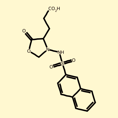 O=C(O)CCC1C(=O)OCN1NS(=O)(=O)c1ccc2ccccc2c1